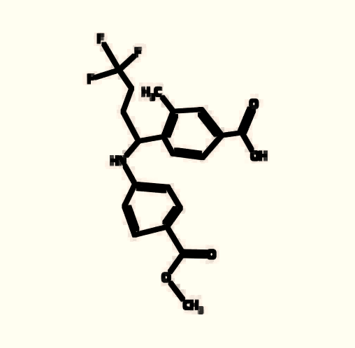 COC(=O)c1ccc(NC(CCC(F)(F)F)c2ccc(C(=O)O)cc2C)cc1